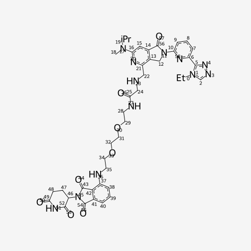 CCn1cnnc1-c1cccc(N2Cc3c(cc(N(C)C(C)C)nc3CNCC(=O)NCCOCCOCCNc3cccc4c3C(=O)N(C3CCC(=O)NC3=O)C4=O)C2=O)n1